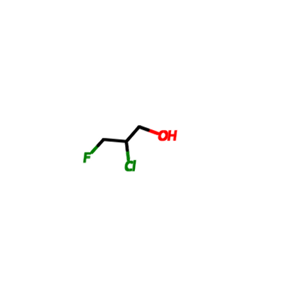 OCC(Cl)CF